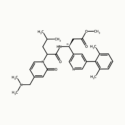 COC(=O)C[C@H](NC(=O)C(CC(C)C)n1ccc(CN(C)C)cc1=O)c1cncc(-c2c(C)cccc2C)c1